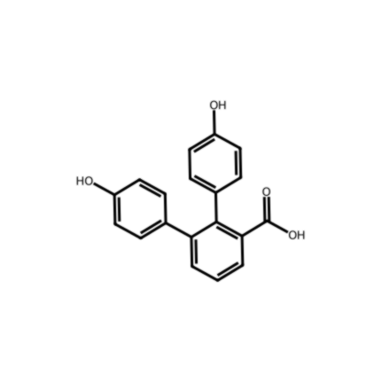 O=C(O)c1cccc(-c2ccc(O)cc2)c1-c1ccc(O)cc1